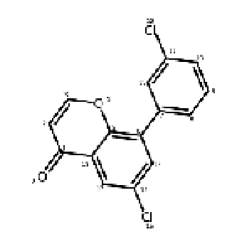 O=c1ccoc2c(-c3cccc(Cl)c3)cc(Cl)cc12